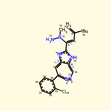 C=C(/C=c1/nc(/C(=C/C(=C)C(C)(C)C)N(C)N)[nH]/c1=C/N)c1ccccc1Cl